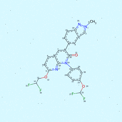 Cn1cc2cc(-c3cc4ccc(OCC(F)F)nc4n(-c4ccc(OC(F)F)cc4)c3=O)ccc2n1